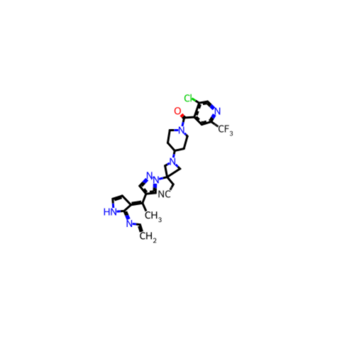 C=C/N=C1/NC=C/C1=C(/C)c1cnn(C2(CC#N)CN(C3CCN(C(=O)c4cc(C(F)(F)F)ncc4Cl)CC3)C2)c1